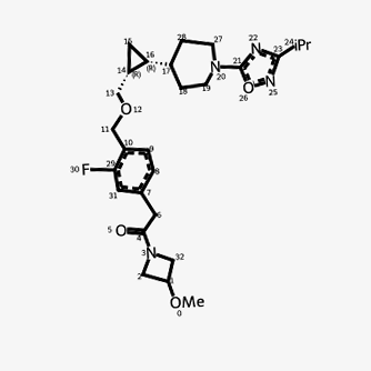 COC1CN(C(=O)Cc2ccc(COC[C@@H]3C[C@@H]3C3CCN(c4nc(C(C)C)no4)CC3)c(F)c2)C1